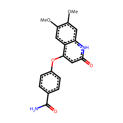 COc1cc2[nH]c(=O)cc(Oc3ccc(C(N)=O)cc3)c2cc1OC